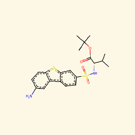 CC(C)[C@H](NS(=O)(=O)c1ccc2c(c1)sc1ccc(N)cc12)C(=O)OC(C)(C)C